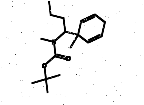 CCCC(N(C)C(=O)OC(C)(C)C)C1(C)C=CCC=C1